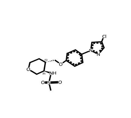 CS(=O)(=O)N[C@H]1COCC[C@@H]1COc1ccc(-n2cc(Cl)cn2)cc1